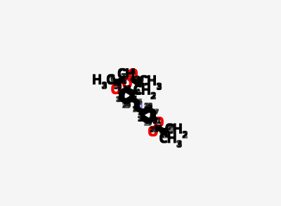 C=C(C)C(=O)OC(C)=C(C)Oc1ccc(/C=C/c2ccc(OC(=O)C(=C)C)cc2)cc1